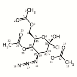 CC(=O)OC[C@H]1O[C@](O)(Cl)[C@H](OC(C)=O)[C@@H](N=[N+]=[N-])[C@H]1OC(C)=O